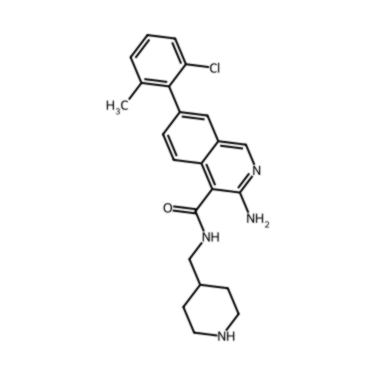 Cc1cccc(Cl)c1-c1ccc2c(C(=O)NCC3CCNCC3)c(N)ncc2c1